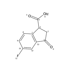 O=C1CC(C(=O)O)c2ccc(F)cc21